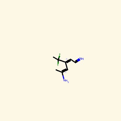 C/C(N)=C\C(=C/C=N)C(C)(F)F